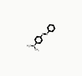 CN(C)c1ccc(N=Nc2cc[c]cc2)cc1